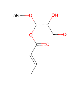 CC=CC(=O)OC(OCCC)C(O)C[O]